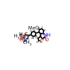 COc1ccc2[nH]c(=O)c3sccc3c2c1-c1ccc([C@@H](C)CN(C)S(C)(=O)=O)cc1